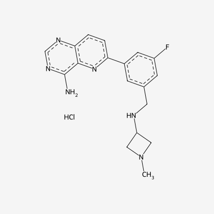 CN1CC(NCc2cc(F)cc(-c3ccc4ncnc(N)c4n3)c2)C1.Cl